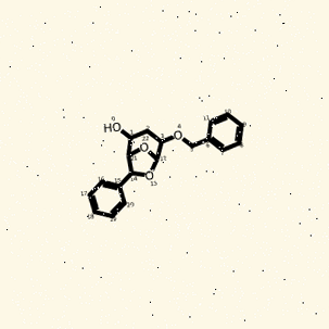 OC1CC(OCc2ccccc2)C2OC(c3ccccc3)C1O2